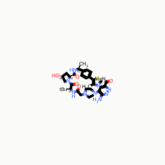 CNC(=O)c1cc(N2CCN(CC(=O)N[C@H](C(=O)N3C[C@H](O)C[C@H]3C(=O)N[C@@H](C)c3ccc(-c4scnc4C)cc3)C(C)(C)C)CC2)c(N)nn1